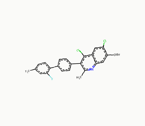 COc1cc2nc(C)c(-c3ccc(-c4ccc(C(F)(F)F)cc4F)cc3)c(Cl)c2cc1Cl